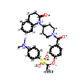 CCCCC(Oc1ccc(C(=O)N2CCC(N3C(=O)CCc4ccccc43)CC2)cc1)S(=O)(=O)c1ccc(N(C)C)cc1